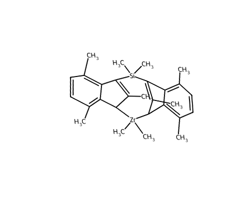 CC1=C2c3c(C)ccc(C)c3[CH]1[Zr]([CH3])([CH3])[CH]1C(C)=C(c3c(C)ccc(C)c31)[Si]2(C)C